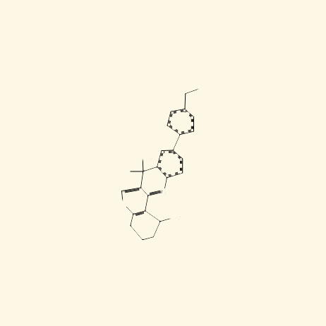 COC1CCCC2=C1C1=Nc3ccc(-c4ccc(CO)cc4)cc3C(C)(C)C1=CO2